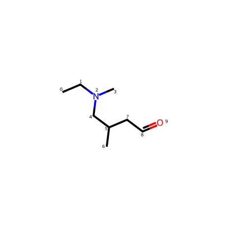 CCN(C)CC(C)CC=O